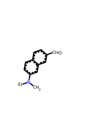 CCN(C)c1ccc2ccc([C]=O)cc2c1